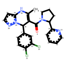 CC1=C(C(=O)N2CCCC2c2ccccn2)C(c2ccc(Cl)c(Cl)c2)n2nccc2N1